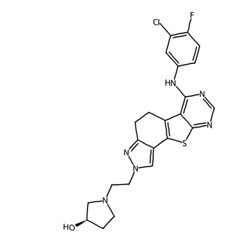 O[C@@H]1CCN(CCn2cc3c(n2)CCc2c-3sc3ncnc(Nc4ccc(F)c(Cl)c4)c23)C1